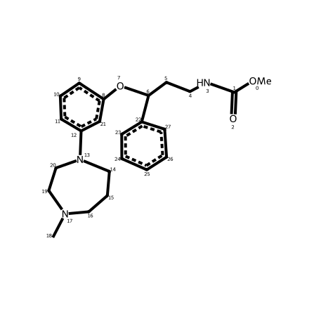 COC(=O)NCCC(Oc1cccc(N2CCCN(C)CC2)c1)c1ccccc1